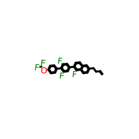 C=CCCc1ccc2c(F)c(-c3cc(F)c(-c4ccc(OC(F)F)cc4)c(F)c3)ccc2c1